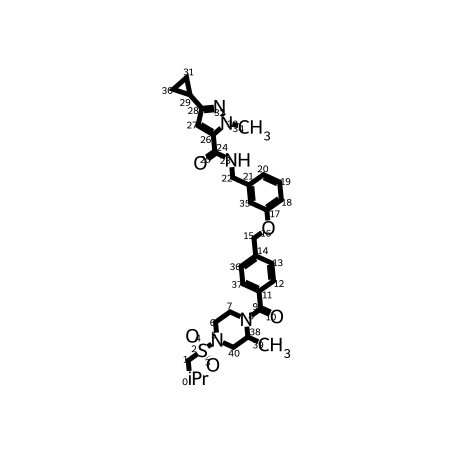 CC(C)CS(=O)(=O)N1CCN(C(=O)c2ccc(COc3cccc(CNC(=O)c4cc(C5CC5)nn4C)c3)cc2)C(C)C1